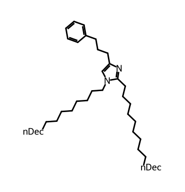 CCCCCCCCCCCCCCCCCCCc1nc(CCCc2ccccc2)cn1CCCCCCCCCCCCCCCCCC